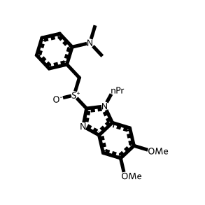 CCCn1c([S+]([O-])Cc2ccccc2N(C)C)nc2cc(OC)c(OC)cc21